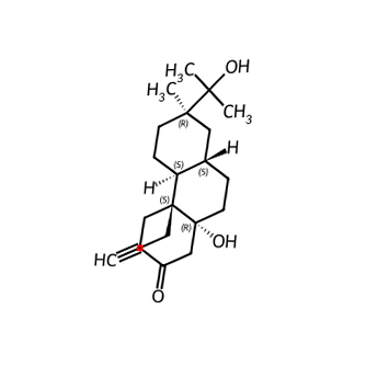 C#CC[C@]12CCC(=O)C[C@]1(O)CC[C@H]1C[C@](C)(C(C)(C)O)CC[C@@H]12